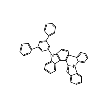 c1ccc(-c2cc(-c3ccccc3)cc(-n3c4ccccc4c4c5c(ccc43)c3ccccc3n3c4ccccc4nc53)c2)cc1